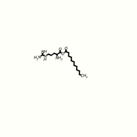 CCCCCCCCCCCC(=O)OC(=O)C(N)CCCNC(=N)N